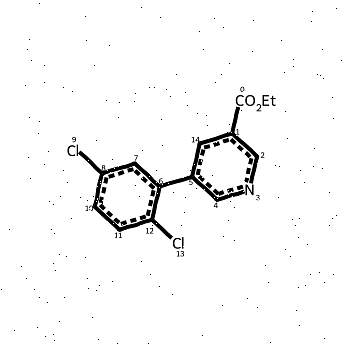 CCOC(=O)c1cncc(-c2cc(Cl)ccc2Cl)c1